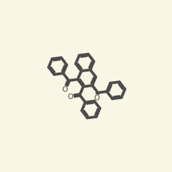 O=C(c1ccccc1)c1cc2ccccc2c(C(=O)c2ccccc2)c1C(=O)c1ccccc1